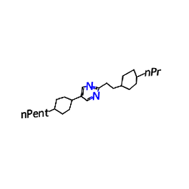 CCCCCC1CCC(c2cnc(CCC3CCC(CCC)CC3)nc2)CC1